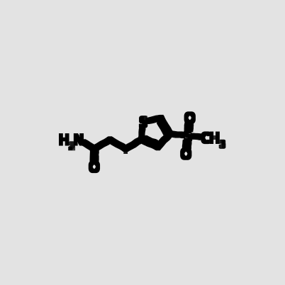 CS(=O)(=O)c1csc([CH]CC(N)=O)c1